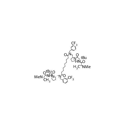 CN[C@@H](C)C(=O)NC(C(=O)N1CCC[C@H]1CN(Cc1cccc(C(F)(F)F)c1)C(=O)CCCCCCCCC(=O)N(Cc1cccc(C(F)(F)F)c1)C[C@@H]1CCCN1C(=O)[C@@H](NC(=O)[C@H](C)NC)C(C)(C)C)C(C)(C)C